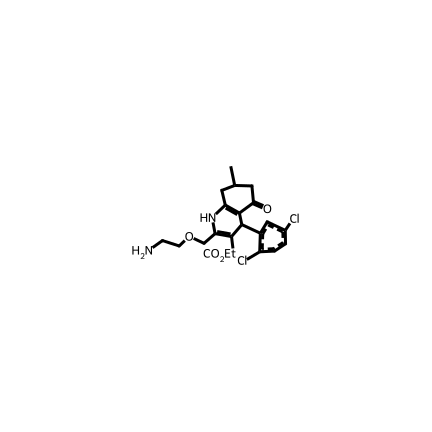 CCOC(=O)C1=C(COCCN)NC2=C(C(=O)CC(C)C2)C1c1cc(Cl)ccc1Cl